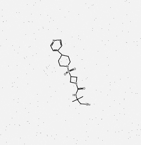 CC(C)(C)CC(C)(C)NC(=O)N1CC(S(=O)(=O)N2CCC(c3ccncc3)CC2)C1